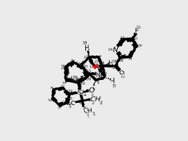 CC(C)(C)[Si](O[C@H]1[C@@H]2[C@@H]3C[C@@H](C[C@H]1N3)CN2C(=O)c1ccc(F)cn1)(c1ccccc1)c1ccccc1